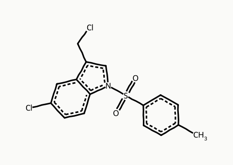 Cc1ccc(S(=O)(=O)n2cc(CCl)c3cc(Cl)ccc32)cc1